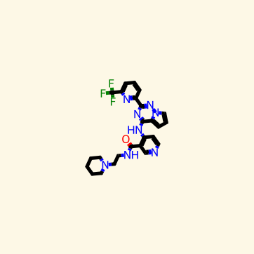 O=C(NCCN1CCCCC1)c1cnccc1Nc1nc(-c2cccc(C(F)(F)F)n2)nn2cccc12